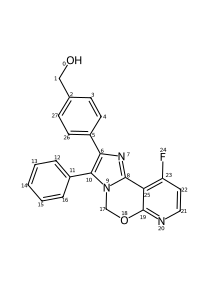 OCc1ccc(-c2nc3n(c2-c2ccccc2)COc2nccc(F)c2-3)cc1